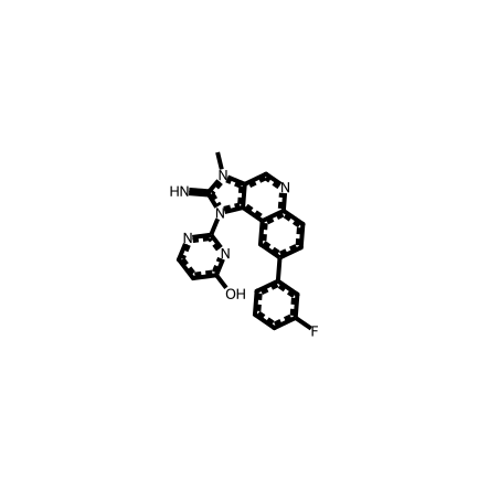 Cn1c(=N)n(-c2nccc(O)n2)c2c3cc(-c4cccc(F)c4)ccc3ncc21